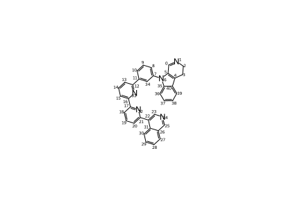 C1=NCCc2c1n(-c1cccc(-c3cccc(-c4cccc(-c5cncc6ccccc56)n4)n3)c1)c1ccccc21